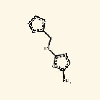 Nc1nnc(NCc2cccs2)o1